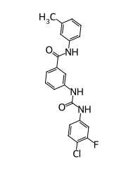 Cc1cccc(NC(=O)c2cccc(NC(=O)Nc3ccc(Cl)c(F)c3)c2)c1